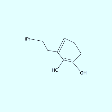 CC(C)CCC1=CCCC(O)=C1O